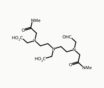 CNC(=O)CN(CC=O)CCN(CCN(CC(=O)O)CC(=O)NC)CC(=O)O